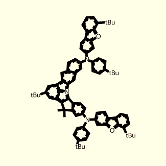 CC(C)(C)c1ccc(N(c2ccc3c(c2)C(C)(C)c2c-3n3c4cc5cc(N(c6ccc(C(C)(C)C)cc6)c6ccc7c(c6)oc6c(C(C)(C)C)cccc67)ccc5cc4c4cc(C(C)(C)C)cc2c43)c2ccc3c(c2)oc2c(C(C)(C)C)cccc23)cc1